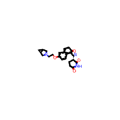 O=C1CC[C@H](c2noc3ccc4cc(OCCN5CC6CC6C5)ccc4c23)C(=O)N1